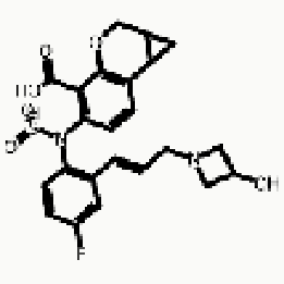 O=C(O)c1c(N(c2ccc(F)cc2C=CCN2CC(O)C2)[SH](=O)=O)ccc2c1OCC1CC21